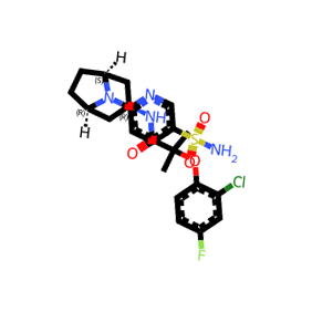 CC(C)(Oc1ccc(F)cc1Cl)C(=O)N[C@H]1C[C@H]2CC[C@@H](C1)N2c1ccc(S(N)(=O)=O)cn1